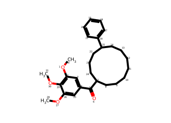 COc1cc(C(=O)C2CCCCCCCC(c3ccccc3)CCC2)cc(OC)c1OC